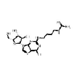 N=C(N)NCCCCNc1nc(S)c2ncn([C@@H]3O[C@H](CO)[C@H](O)C3O)c2n1